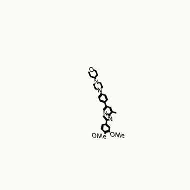 COc1ccc(-c2cn3cc(-c4ccc(N5CCN(C6CCOCC6)CC5)cc4)cc(C)c3n2)cc1OC